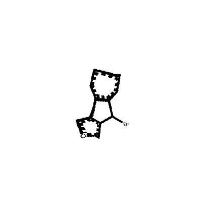 BrC1c2ccccc2-c2cocc21